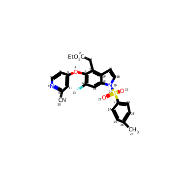 CCOC(=O)Cc1c(Oc2ccnc(C#N)c2)c(F)cc2c1ccn2S(=O)(=O)c1ccc(C)cc1